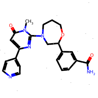 Cn1c(N2CCCOC(c3cccc(C(N)=O)c3)C2)nc(-c2ccncc2)cc1=O